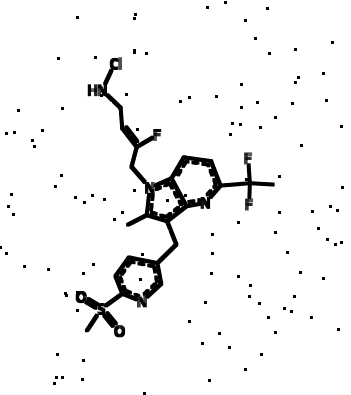 Cc1c(Cc2ccc(S(C)(=O)=O)nc2)c2nc(C(C)(F)F)ccc2n1C/C(F)=C/CNCl